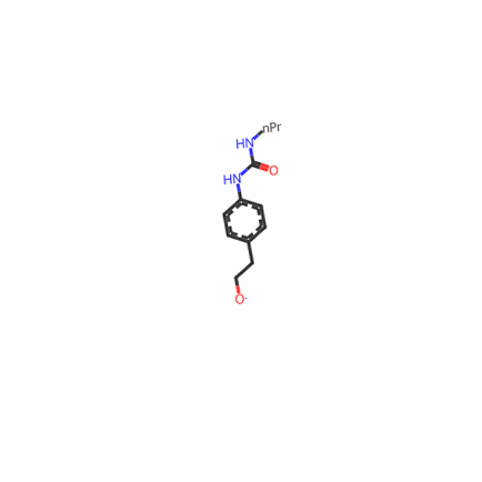 CCCNC(=O)Nc1ccc(CC[O])cc1